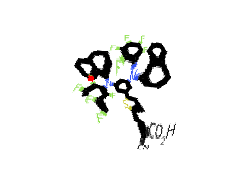 C\C(F)=C(F)/C(=C(F)\C(F)=C\F)N(c1cc(-c2ccc(/C=C(/C#N)C(=O)O)s2)cc(N(c2c(F)c(F)c(F)c(F)c2F)c2cccc3ccccc23)c1)c1cccc2ccccc12